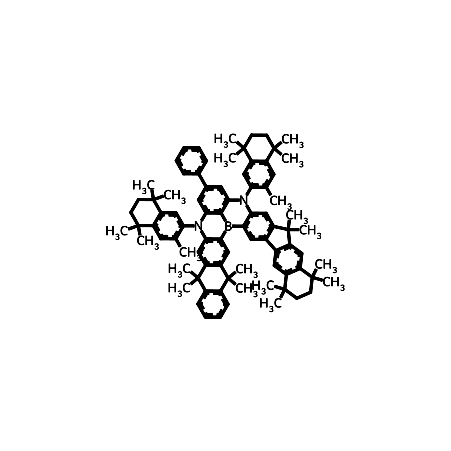 Cc1cc2c(cc1N1c3cc4c(cc3B3c5cc6c(cc5N(c5cc7c(cc5C)C(C)(C)CCC7(C)C)c5cc(-c7ccccc7)cc1c53)C(C)(C)c1ccccc1C6(C)C)-c1cc3c(cc1C4(C)C)C(C)(C)CCC3(C)C)C(C)(C)CCC2(C)C